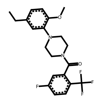 CCc1ccc(OC)c(N2CCN(C(=O)c3cc(F)ccc3C(F)(F)F)CC2)c1